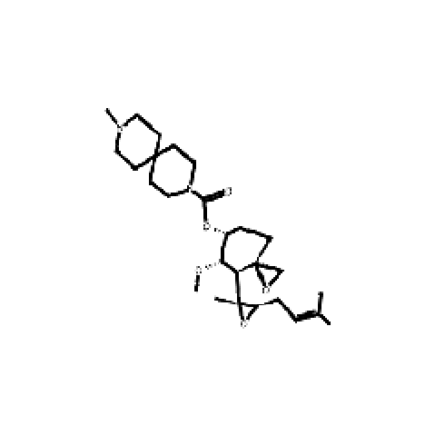 CO[C@@H]1[C@H](OC(=O)N2CCC3(CCN(C)CC3)CC2)CC[C@]2(CO2)[C@H]1[C@@]1(C)O[C@@H]1CC=C(C)C